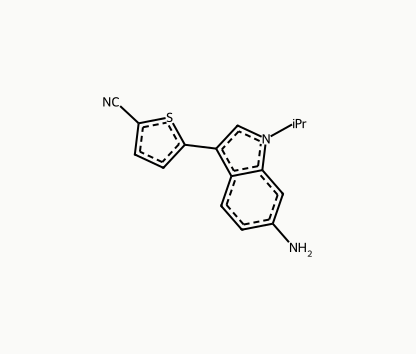 CC(C)n1cc(-c2ccc(C#N)s2)c2ccc(N)cc21